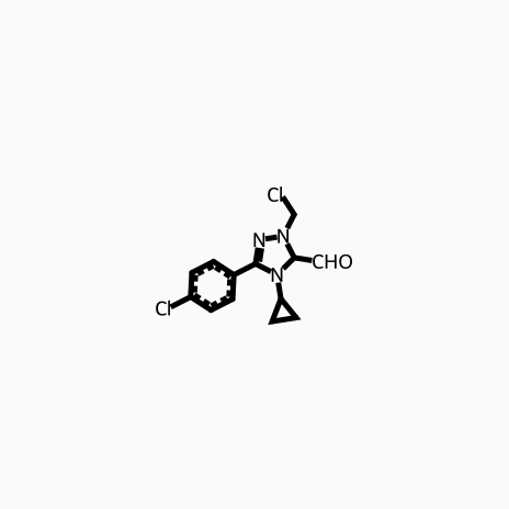 O=CC1N(CCl)N=C(c2ccc(Cl)cc2)N1C1CC1